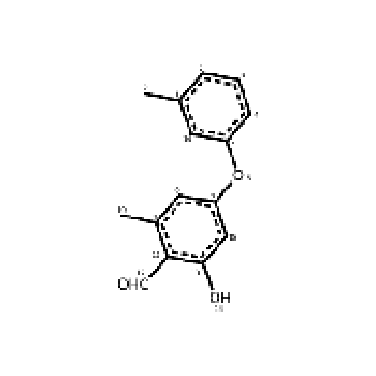 Cc1cccc(Oc2cc(C)c(C=O)c(O)c2)c1